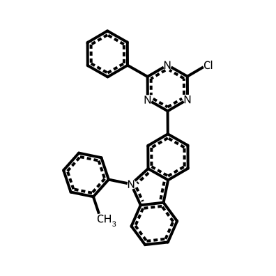 Cc1ccccc1-n1c2ccccc2c2ccc(-c3nc(Cl)nc(-c4ccccc4)n3)cc21